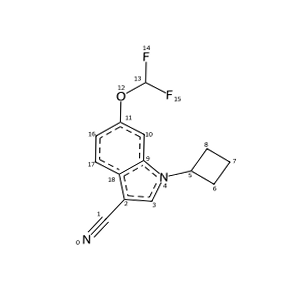 N#Cc1cn(C2CCC2)c2cc(OC(F)F)ccc12